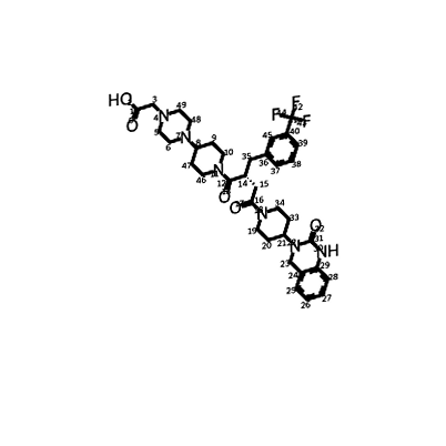 O=C(O)CN1CCN(C2CCN(C(=O)[C@@H](CC(=O)N3CCC(N4Cc5ccccc5NC4=O)CC3)Cc3cccc(C(F)(F)F)c3)CC2)CC1